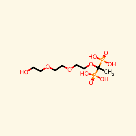 CC(OCCOCCOCCO)(P(=O)(O)O)P(=O)(O)O